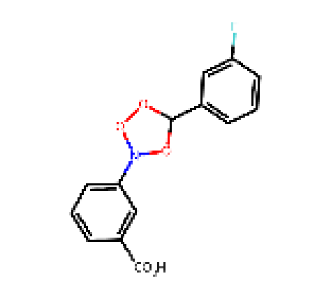 O=C(O)c1cccc(N2OOC(c3cccc(F)c3)O2)c1